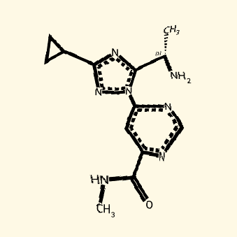 CNC(=O)c1cc(-n2nc(C3CC3)nc2[C@H](C)N)ncn1